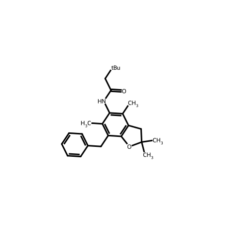 Cc1c(Cc2ccccc2)c2c(c(C)c1NC(=O)CC(C)(C)C)CC(C)(C)O2